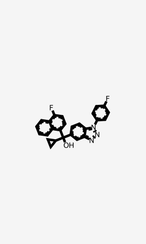 OC(c1ccc2c(c1)nnn2-c1ccc(F)cc1)(c1ccc(F)c2ccccc12)C1CC1